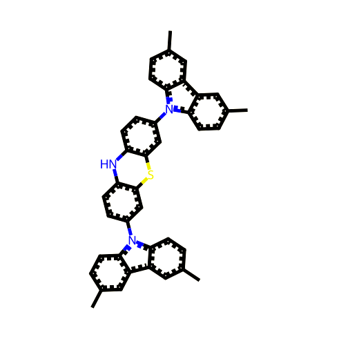 Cc1ccc2c(c1)c1cc(C)ccc1n2-c1ccc2c(c1)Sc1cc(-n3c4ccc(C)cc4c4cc(C)ccc43)ccc1N2